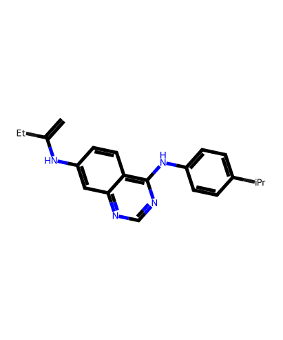 C=C(CC)Nc1ccc2c(Nc3ccc(C(C)C)cc3)ncnc2c1